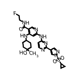 CC1(O)CCC(Nc2cc(Nc3ccnc(-c4cnn(S(=O)(=O)C5CC5)c4)n3)ncc2C(=O)NCCF)CC1